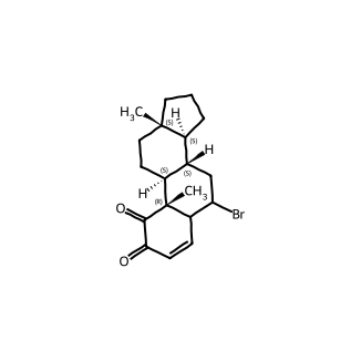 C[C@@]12CCC[C@H]1[C@@H]1CC(Br)C3C=CC(=O)C(=O)[C@]3(C)[C@H]1CC2